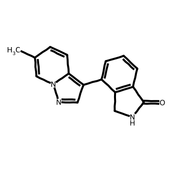 Cc1ccc2c(-c3cccc4c3CNC4=O)cnn2c1